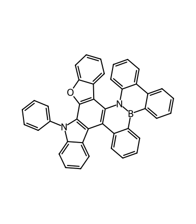 c1ccc(-n2c3ccccc3c3c4c(c5c6ccccc6oc5c32)N2B(c3ccccc3-c3ccccc32)c2ccccc2-4)cc1